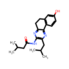 CC(C)CC(=O)Nc1nc2c(nc1CC(C)C)-c1ccc(O)cc1CC2